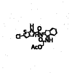 CC(=O)OCC(=O)N[C@H]1c2ccccc2C[C@H]1NC(=O)c1cc2cc(Cl)sc2[nH]1